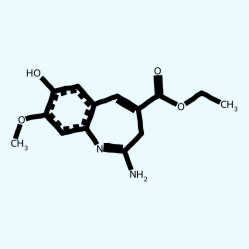 CCOC(=O)C1=Cc2cc(O)c(OC)cc2N=C(N)C1